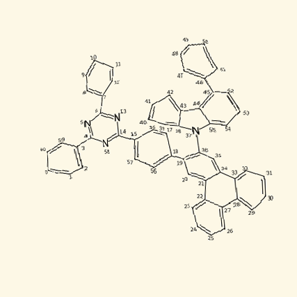 c1ccc(-c2nc(-c3ccccc3)nc(-c3ccc(-c4cc5c6ccccc6c6ccccc6c5cc4-n4c5ccccc5c5c(-c6ccccc6)cccc54)cc3)n2)cc1